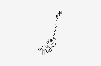 [N-]=[N+]=NCCCCCCCCCCC(=O)Nc1cccc2c1C(=O)N(C1CCC(=O)NC1=O)C2=O